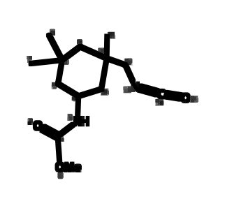 COC(=O)NC1CC(C)(C)CC(C)(CN=C=O)C1